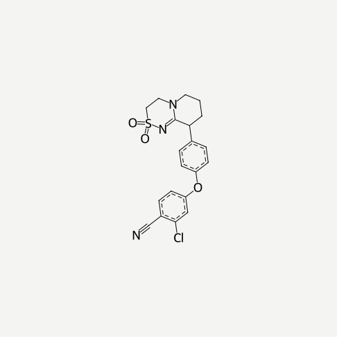 N#Cc1ccc(Oc2ccc(C3CCCN4CCS(=O)(=O)N=C34)cc2)cc1Cl